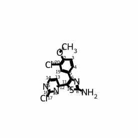 COc1ccc(-c2nc(N)sc2-c2ccnc(Cl)n2)cc1Cl